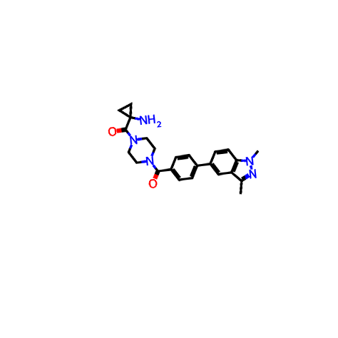 Cc1nn(C)c2ccc(-c3ccc(C(=O)N4CCN(C(=O)C5(N)CC5)CC4)cc3)cc12